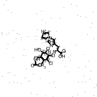 CC(=O)O.N[C@@H](Cc1cnc[nH]1)C(=O)O.Oc1c(Cl)c(Cl)c(Cl)c(Cl)c1Cl.[H+].c1ccsc1